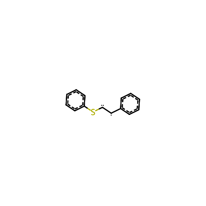 [C]([CH]c1ccccc1)Sc1ccccc1